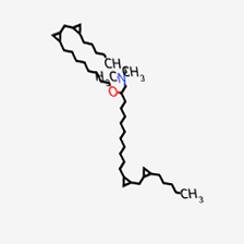 CCCCCC1CC1CC1CC1CCCCCCCCCCC(CN(C)C)OCCCCCCCCC1CC1CC1CC1CCCCC